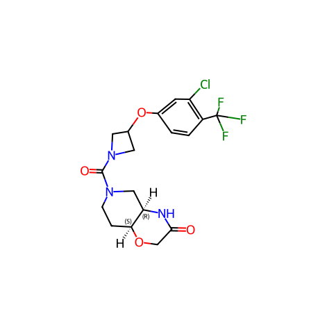 O=C1CO[C@H]2CCN(C(=O)N3CC(Oc4ccc(C(F)(F)F)c(Cl)c4)C3)C[C@H]2N1